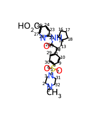 CN1CCN(S(=O)(=O)c2ccc([C@@H](CC3CCCC3)C(=O)Nc3ccc(C(=O)O)cn3)cc2)CC1